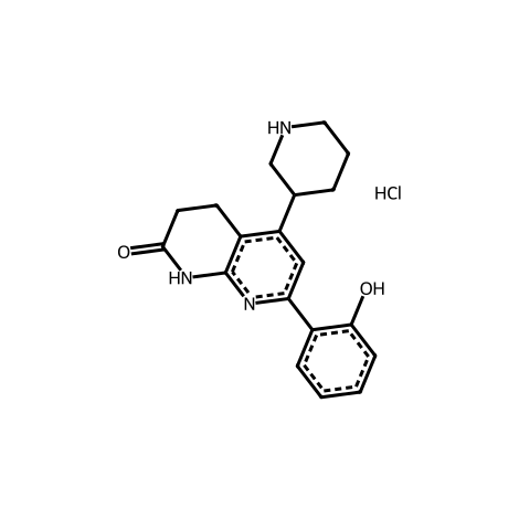 Cl.O=C1CCc2c(C3CCCNC3)cc(-c3ccccc3O)nc2N1